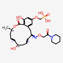 C[C@@H]1C/C=C/[C@H](O)C/C=C/C(=N/OCC(=O)N2CCCCC2)Cc2cc(OCP(=O)(O)O)cc(O)c2C(=O)O1